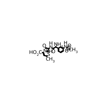 CC1C=C(C(=O)O)N2C(=O)C(NC(=O)C(N)c3cccc(NS(C)(=O)=O)c3)[C@H]2S1